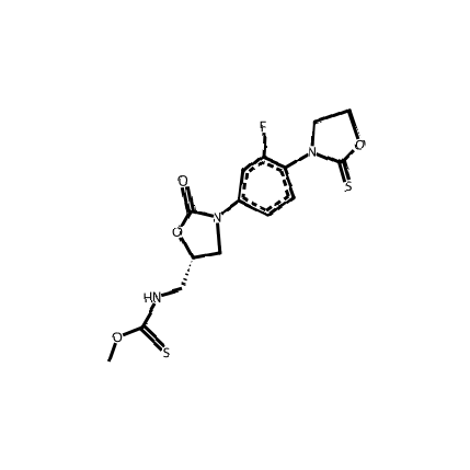 COC(=S)NC[C@H]1CN(c2ccc(N3CCOC3=S)c(F)c2)C(=O)O1